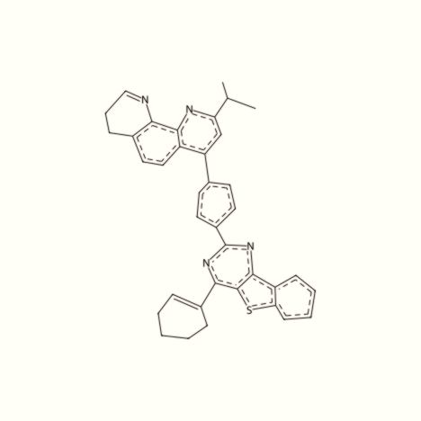 CC(C)c1cc(-c2ccc(-c3nc(C4=CCCCC4)c4sc5ccccc5c4n3)cc2)c2ccc3c(c2n1)N=CCC3